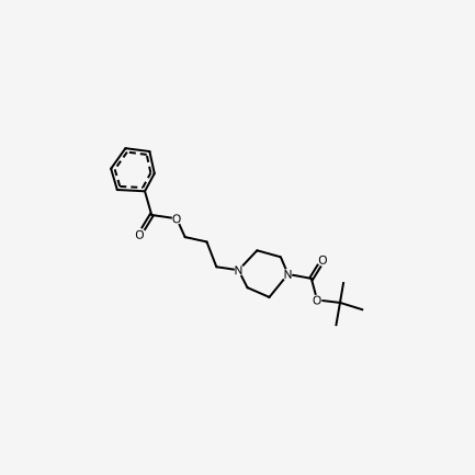 CC(C)(C)OC(=O)N1CCN(CCCOC(=O)c2ccccc2)CC1